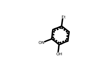 CCc1ccc(O)c(N=O)c1